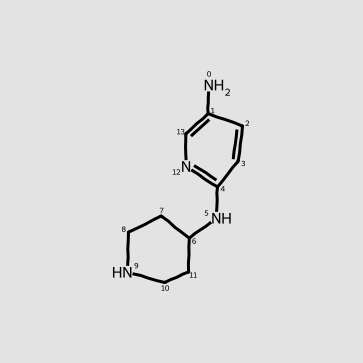 Nc1ccc(NC2CCNCC2)nc1